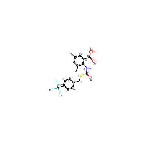 Cc1cc(C)c(NC(=O)SCc2ccc(C(F)(F)F)cc2)c(C(=O)O)c1